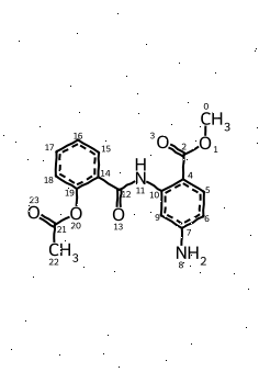 COC(=O)c1ccc(N)cc1NC(=O)c1ccccc1OC(C)=O